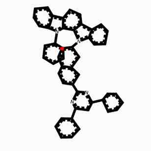 c1ccc(-c2cc(-c3ccccc3)nc(-c3ccc4ccc(-n5c6ccccc6c6ccc7c8ccccc8n(-c8ccccc8)c7c65)cc4c3)n2)cc1